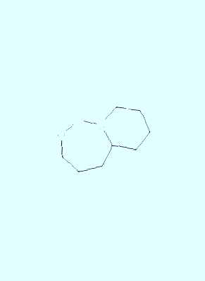 C1CCC2CCCOOB2C1